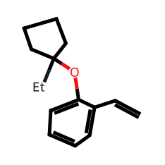 C=Cc1ccccc1OC1(CC)CCCC1